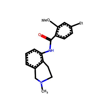 CCc1ccc(C(=O)Nc2cccc3c2CCN(C)C3)c(OC)c1